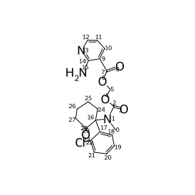 CN(C(=O)OCOC(=O)c1cccnc1N)C1(c2ccccc2Cl)CCCCC1=O